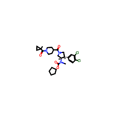 CN(C(=O)OC1CCCC1)[C@H]1CN(C(=O)C2CCN(C(=O)C3(C)CC3)CC2)C[C@@H]1c1ccc(Cl)c(Cl)c1